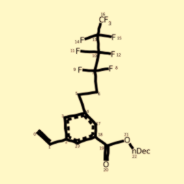 C=Cc1cc(CCC(F)(F)C(F)(F)C(F)(F)C(F)(F)F)cc(C(=O)OCCCCCCCCCC)c1